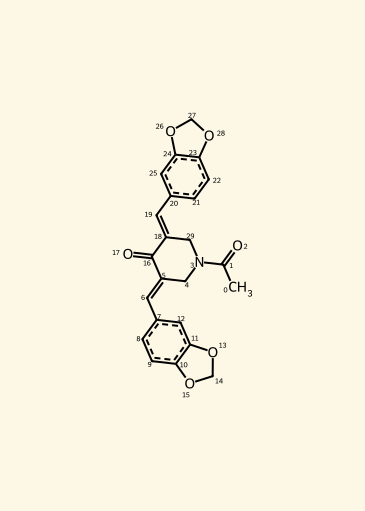 CC(=O)N1CC(=Cc2ccc3c(c2)OCO3)C(=O)C(=Cc2ccc3c(c2)OCO3)C1